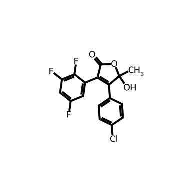 CC1(O)OC(=O)C(c2cc(F)cc(F)c2F)=C1c1ccc(Cl)cc1